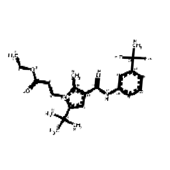 CCOC(=O)CCn1c(C(C)(C)C)cc(C(=O)Nc2cccc(C(C)(F)F)c2)c1C